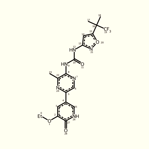 CCOc1cc(-c2cnc(NC(=O)Nc3cc(C(C)(C)C(F)(F)F)on3)c(C)n2)c[nH]c1=O